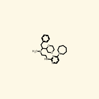 CN(CCNc1nccc(N2CCCCCC2)n1)C(Cc1ccccc1)C1COCCO1